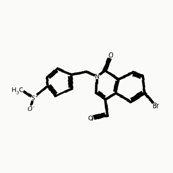 C[S+]([O-])c1ccc(Cn2cc(C=O)c3cc(Br)ccc3c2=O)cc1